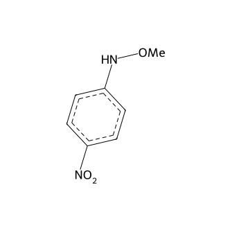 CONc1ccc([N+](=O)[O-])cc1